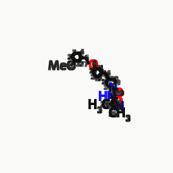 COc1cccc(CCOc2cccc(C=C3CCN(C(=O)Nc4onc(C)c4C)CC3)c2)c1